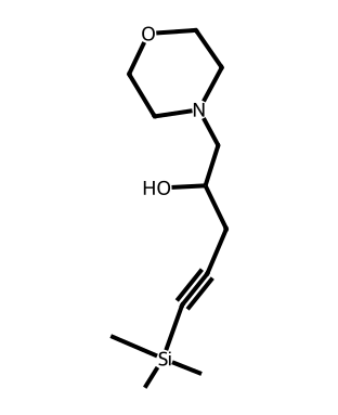 C[Si](C)(C)C#CCC(O)CN1CCOCC1